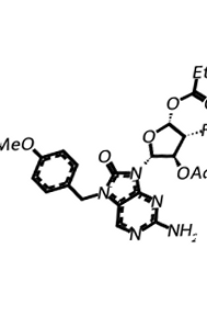 CCC(=O)O[C@H]1O[C@@H](n2c(=O)n(Cc3ccc(OC)cc3)c3cnc(N)nc32)[C@H](OC(C)=O)[C@H]1F